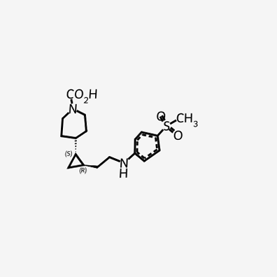 CS(=O)(=O)c1ccc(NCC[C@H]2C[C@@H]2C2CCN(C(=O)O)CC2)cc1